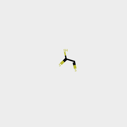 S=CC(=S)S